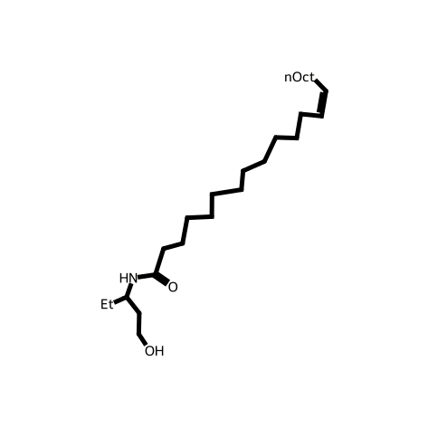 CCCCCCCC/C=C\CCCCCCCCCCCC(=O)N[C](CC)CCO